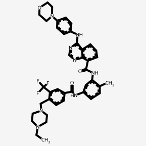 CCN1CCN(Cc2ccc(C(=O)Nc3ccc(C)c(NC(=O)c4cccc5c(Nc6ccc(N7CCOCC7)cc6)ncnc45)c3)cc2C(F)(F)F)CC1